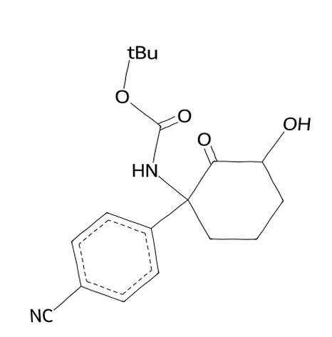 CC(C)(C)OC(=O)NC1(c2ccc(C#N)cc2)CCCC(O)C1=O